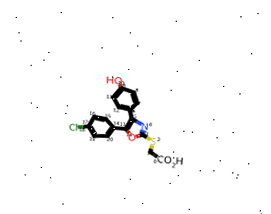 O=C(O)CSc1nc(-c2ccc(O)cc2)c(-c2ccc(Cl)cc2)o1